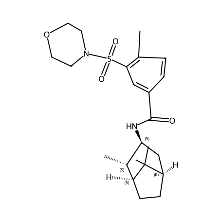 Cc1ccc(C(=O)N[C@H]2C[C@H]3CC[C@@H]([C@@H]2C)C3(C)C)cc1S(=O)(=O)N1CCOCC1